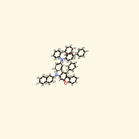 C1=C2c3c(cc4oc5ccccc5c4c3-c3ccccc3)N(c3ccc4ccccc4c3)C2CC=C1N(c1ccc(-c2ccccc2)cc1)c1ccccc1-c1ccccc1